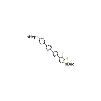 CCCCCCCCCCc1ccc(-c2ccc(-c3ccc(C4=CCC(CCCCCCC)CC4)cc3F)cc2)c(F)c1F